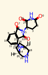 O=C1CCC(N2C(=O)c3cccc(N4[C@@H]5CC[C@H]4CNC5)c3C2=O)C(=O)N1